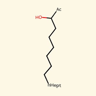 CCCCCCCCCCCCCC(O)C(C)=O